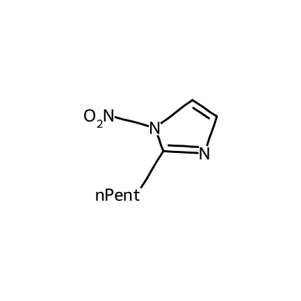 CCCCCc1nccn1[N+](=O)[O-]